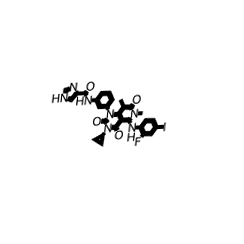 Cc1c(=O)n(C)c(Nc2ccc(I)cc2F)c2c(=O)n(C3CC3)c(=O)n(-c3cccc(NC(=O)c4c[nH]cn4)c3)c12